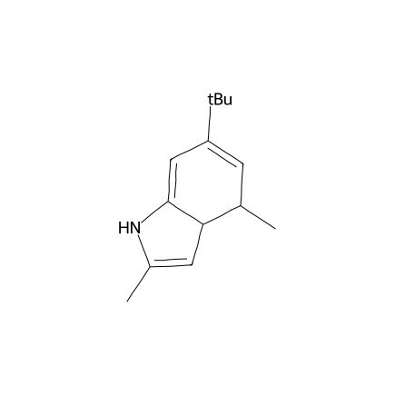 CC1=CC2C(=CC(C(C)(C)C)=CC2C)N1